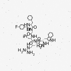 CC(C)C[C@@H](NC(=O)CNC(=O)[C@H](Cc1ccccc1)NC(=O)c1ccc(F)cc1)C(=O)N[C@@H](CCCNC(N)N)C(=O)C(=O)[C@H](Cc1c[nH]c2ccccc12)NN